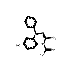 Cl.N=C(N)NC(N)=NN(c1ccccc1)c1ccccc1